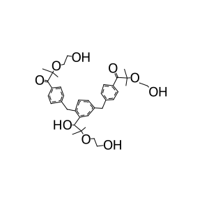 CC(C)(OCCO)C(=O)c1ccc(Cc2ccc(Cc3ccc(C(=O)C(C)(C)OCCO)cc3)c(C(O)C(C)(C)OCCO)c2)cc1